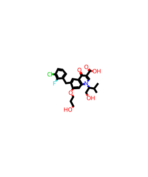 CC(C)C(CO)n1cc(C(=O)O)c(=O)c2cc(Cc3cccc(Cl)c3F)c(OCCCO)cc21